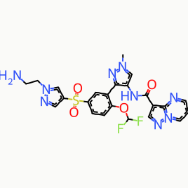 Cn1cc(NC(=O)c2cnn3cccnc23)c(-c2cc(S(=O)(=O)c3cnn(CCN)c3)ccc2OC(F)F)n1